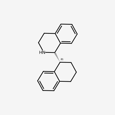 c1ccc2c(c1)CCNC2[C@@H]1CCCc2ccccc21